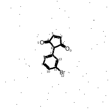 O=C1C=CC(=O)C1c1cccc(Br)c1